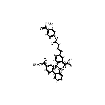 COC(=O)c1ccc(OC(=O)CCCc2ccc(NC(=O)c3ccccc3-c3ccc(C(=O)OC)cc3)c(C(=O)N(C)C)c2)cc1